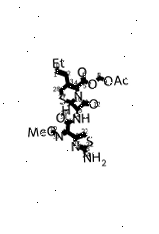 CC/C=C/C1=C(C(=O)OCOC(C)=O)N2C(=O)[C@@H](NC(=O)/C(=N\OC)c3csc(N)n3)[C@H]2SC1